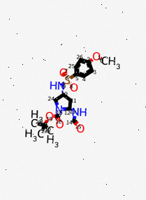 COc1ccc(S(=O)(=O)N[C@@H]2C[C@@H](NC=O)N(C(=O)OC(C)(C)C)C2)cc1